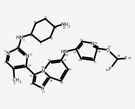 Cc1cnc(NC2CCC(N)CC2)nc1-c1cnc2ccc(Nc3ccc(OC(F)F)nc3)cn12